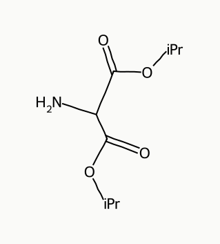 CC(C)OC(=O)C(N)C(=O)OC(C)C